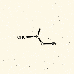 CC(C)ON(C)C=O